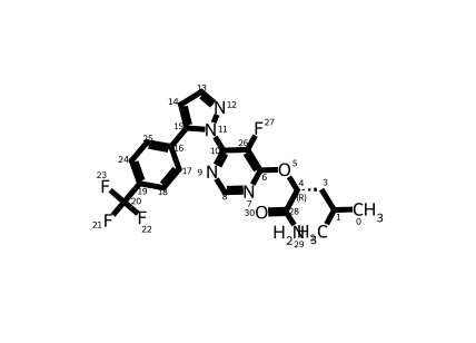 CC(C)C[C@@H](Oc1ncnc(-n2nccc2-c2ccc(C(F)(F)F)cc2)c1F)C(N)=O